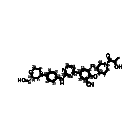 CC(O)C(=O)N1CC[C@H](Oc2ccc(-c3ncnc(Nc4ccc(N5CCO[C@@H](CO)C5)cc4)n3)cc2C#N)[C@H](F)C1